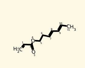 C=CC(=O)OCCC=CC=CC